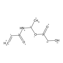 C=CC(=O)NC(C)OC(=O)CO